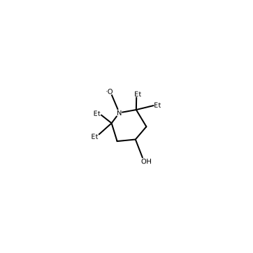 CCC1(CC)CC(O)CC(CC)(CC)N1[O]